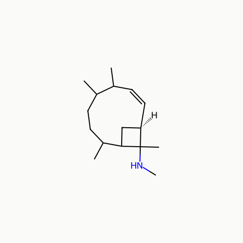 CNC1(C)C2C[C@H]1/C=C\C(C)C(C)CCC2C